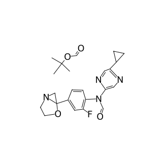 CC(C)(C)OC=O.O=CN(c1cnc(C2CC2)cn1)c1ccc(C23CN2CCO3)cc1F